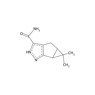 CC1(C)C2Cc3c(n[nH]c3C(N)=O)C21